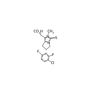 Cn1c(CC(=O)O)c2n(c1=S)C[C@H](c1c(F)ccc(Cl)c1F)C2